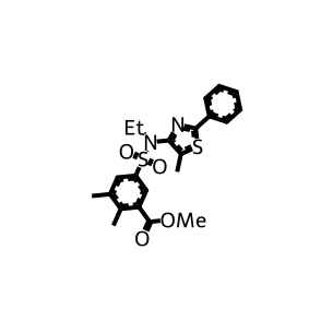 CCN(c1nc(-c2ccccc2)sc1C)S(=O)(=O)c1cc(C)c(C)c(C(=O)OC)c1